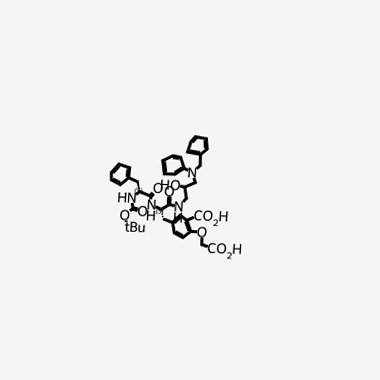 CC(C)(C)OC(=O)N[C@@H](Cc1ccccc1)C(=O)N[C@@H](Cc1ccc(OCC(=O)O)c(C(=O)O)c1)C(=O)NCC(O)CN(Cc1ccccc1)c1ccccc1